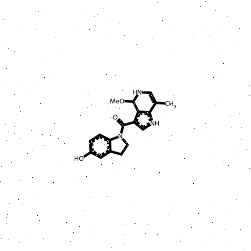 COC1NC=C(C)c2[nH]cc(C(=O)N3CCc4cc(O)ccc43)c21